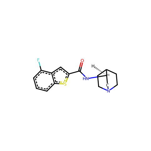 O=C(N[C@@H]1CN2CCC1CC2)c1cc2c(F)cccc2s1